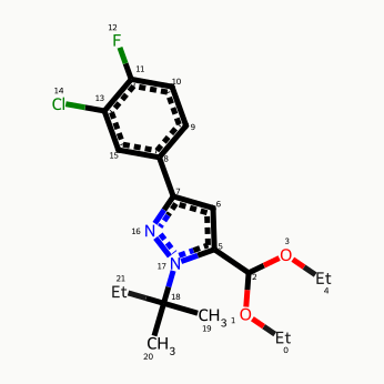 CCOC(OCC)c1cc(-c2ccc(F)c(Cl)c2)nn1C(C)(C)CC